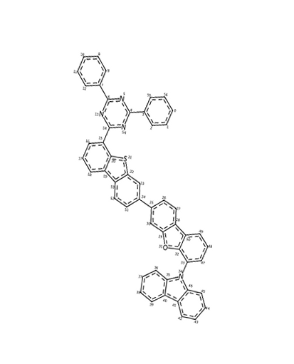 c1ccc(-c2nc(-c3ccccc3)nc(-c3cccc4c3sc3cc(-c5ccc6c(c5)oc5c(-n7c8ccccc8c8ccccc87)cccc56)ccc34)n2)cc1